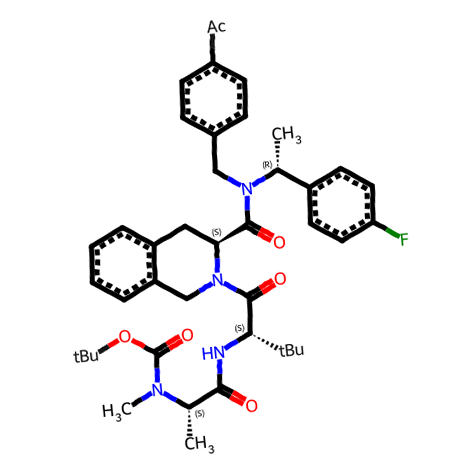 CC(=O)c1ccc(CN(C(=O)[C@@H]2Cc3ccccc3CN2C(=O)[C@@H](NC(=O)[C@H](C)N(C)C(=O)OC(C)(C)C)C(C)(C)C)[C@H](C)c2ccc(F)cc2)cc1